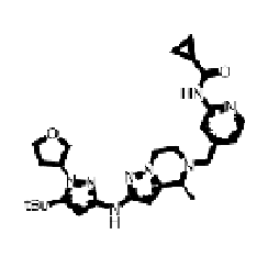 C[C@H]1c2cc(Nc3cc(C(C)(C)C)n([C@H]4CCOC4)n3)nn2CCN1Cc1ccnc(NC(=O)C2CC2)c1